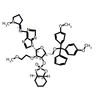 COCCO[C@@H]1[C@H](OP2(=O)O[C@@H]3CCCC[C@H]3S2)[C@@H](COC(c2ccccc2)(c2ccc(OC)cc2)c2ccc(OC)cc2)O[C@H]1n1cnc2c(/N=C3\CCCN3C)ncnc21